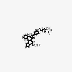 CN(C)CCOc1ccc(-c2nc(C3=CC(=NO)C4CCCC4=C3)c(-c3ccncc3)[nH]2)cc1